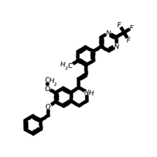 COc1cc2c(cc1OCc1ccccc1)CCNC2/C=C/c1cc(-c2cnc(C(F)(F)F)nc2)ccc1C